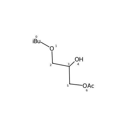 CCC(C)OCC(O)COC(C)=O